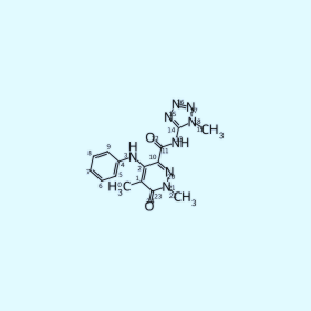 Cc1c(Nc2ccccc2)c(C(=O)Nc2nnnn2C)nn(C)c1=O